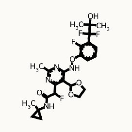 Cc1nc(NOc2cccc(C(F)(F)C(C)(C)O)c2F)c(C2OCCO2)c(C(F)C(=O)NC2(C)CC2)n1